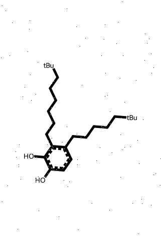 CC(C)(C)CCCCCCc1c(CCCCCC(C)(C)C)ccc(O)c1O